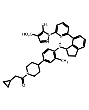 Cc1cc(C2CCN(C(=O)CC3CC3)CC2)ccc1NC1CCc2cccc(-c3cccc(-n4ncc(C(=O)O)c4C)n3)c21